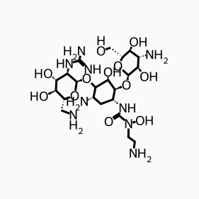 N=C(N)N[C@H]1[C@@H](OC2[C@@H](N)C[C@@H](NC(=O)N(O)CCN)[C@H](O[C@H]3O[C@H](CO)[C@@H](O)[C@H](N)[C@H]3O)[C@H]2O)O[C@H](CN)[C@@H](O)[C@@H]1O